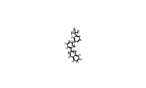 FC(F)(F)c1cccc(-c2cccc(-c3ncc4ccccc4n3)n2)c1